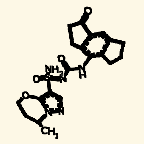 CC1CCOc2c(S(N)(=O)=NC(=O)Nc3c4c(cc5c3CCC5=O)CCC4)cnn21